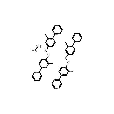 Cc1cc(-c2ccccc2)ccc1SSc1ccc(-c2ccccc2)c(C)c1.Cc1cc(-c2ccccc2)ccc1SSc1ccc(-c2ccccc2)c(C)c1.SS